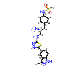 Cc1n[nH]c2ccc(-c3nnc(NC[C@@H](N)Cc4ccc(NS(C)(=O)=O)cc4)s3)cc12